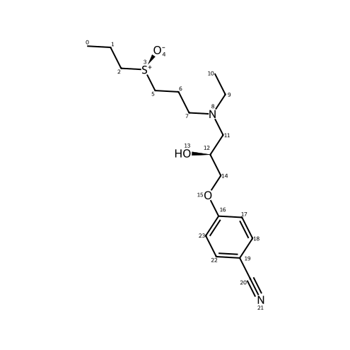 CCC[S@@+]([O-])CCCN(CC)C[C@H](O)COc1ccc(C#N)cc1